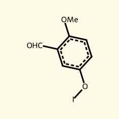 COc1ccc(OI)cc1C=O